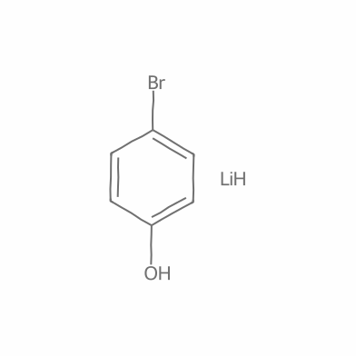 Oc1ccc(Br)cc1.[LiH]